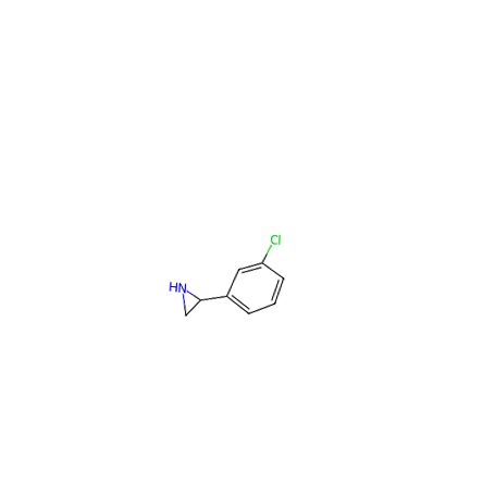 Clc1cccc(C2CN2)c1